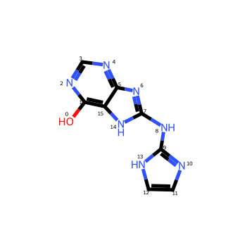 Oc1ncnc2nc(Nc3ncc[nH]3)[nH]c12